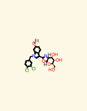 CCOc1ccc2c(C3=N[C@H]4[C@@H](O3)O[C@H](CO)[C@@H](O)[C@@H]4O)cn(Cc3ccc(Cl)c(Cl)c3)c2c1